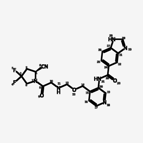 N#C[C@@H]1CC(F)(F)CN1C(=O)CNCOCc1ccncc1NC(=O)c1ccc2[nH]cnc2c1